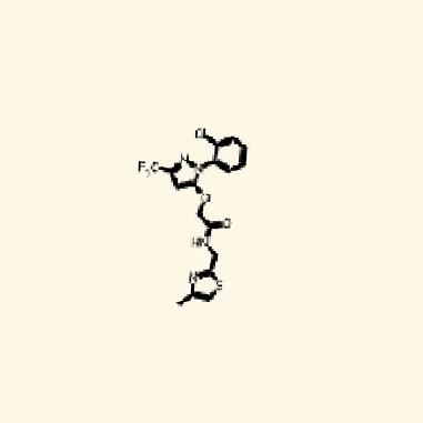 Cc1csc(CNC(=O)COc2cc(C(F)(F)F)nn2-c2ccccc2Cl)n1